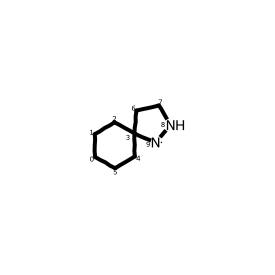 C1CCC2(CC1)CCN[N]2